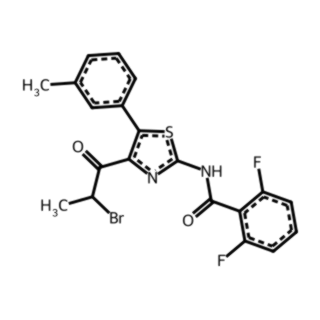 Cc1cccc(-c2sc(NC(=O)c3c(F)cccc3F)nc2C(=O)C(C)Br)c1